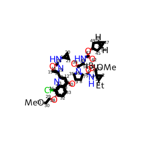 CC[C@@H]1C[C@]1(NC(=O)[C@@H]1C[C@@H](Oc2cc(-c3coc(NC4CC4)n3)nc3c(Cl)c(OCCOC)ccc23)CN1C(=O)[C@@H](NC(=O)OC1C[C@@H]2C[C@@H]2C1)C(C)(C)C)C(=O)OC